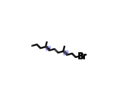 CCC/C(C)=C/CC/C(C)=C/CCBr